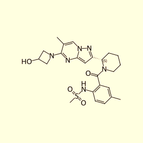 Cc1ccc(NS(C)(=O)=O)c(C(=O)N2CCCC[C@H]2c2cc3nc(N4CC(O)C4)c(C)cn3n2)c1